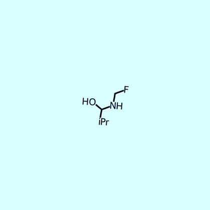 CC(C)C(O)NCF